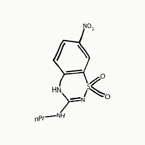 CCCNC1=NS(=O)(=O)c2cc([N+](=O)[O-])ccc2N1